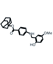 COc1ccc(O)c(CNc2ccc(C(=O)OC34CC5CC(CC(C5)C3)C4)cc2)c1